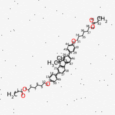 C=CC(=O)OCCCCCCOc1ccc(-c2ccc3c(c2)C(C)(C)c2cc(-c4ccc(OCCCCCCOC(=O)C=C)cc4)ccc2-3)cc1